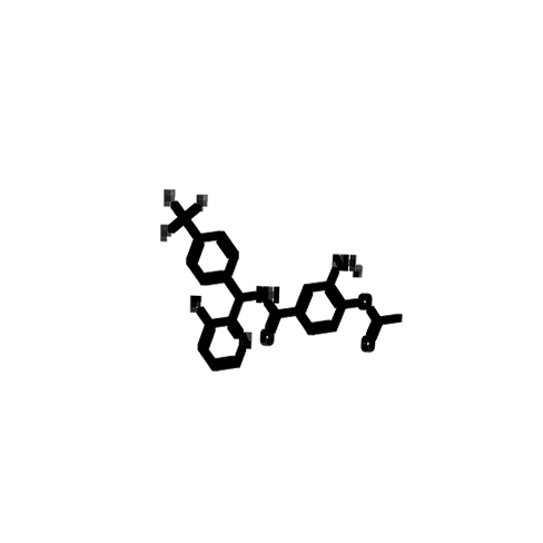 CC(=O)Oc1ccc(C(=O)NC(c2ccc(C(F)(F)F)cc2)c2ncccc2F)cc1N